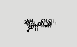 Cc1ccnc([C@H]2C[C@@H]2c2cc(C#N)c3ccc(NCc4cn5cc(C6CC6)cc(N6CC(=O)N(C)C6=O)c5n4)cc3n2)n1